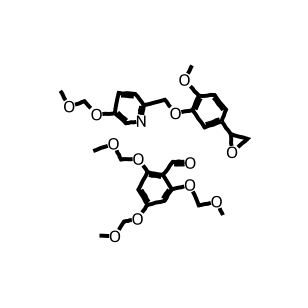 COCOc1cc(OCOC)c(C=O)c(OCOC)c1.COCOc1ccc(COc2cc(C3CO3)ccc2OC)nc1